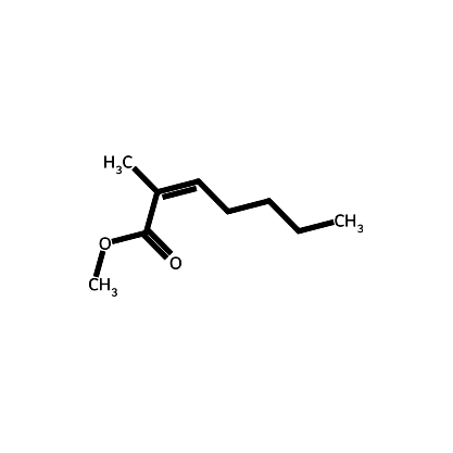 CCCCC=C(C)C(=O)OC